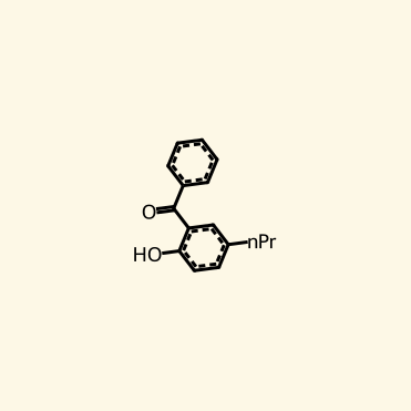 CCCc1ccc(O)c(C(=O)c2ccccc2)c1